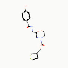 O=C(NCC1CN(C(=O)OCC2C=CSC2)CCO1)c1ccc(O)cc1